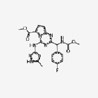 COC(=O)NC(c1ccc(F)cc1)c1nc(Nc2cc(C)[nH]n2)n2c(C(=O)OC)ccc2n1